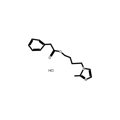 Cc1nccn1CCCCOC(=O)Cc1ccccc1.Cl